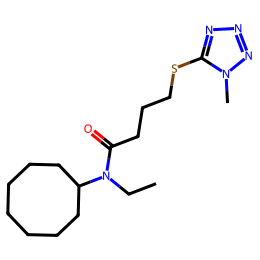 CCN(C(=O)CCCSc1nnnn1C)C1CCCCCCC1